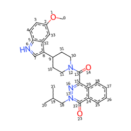 COc1ccc2[nH]cc(C3CCN(C(=O)c4nn(CC(C)C)c(=O)c5ccccc45)CC3)c2c1